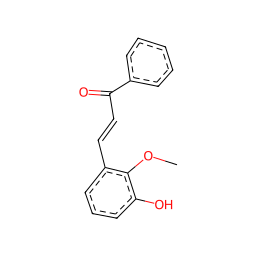 COc1c(O)cccc1/C=C/C(=O)c1ccccc1